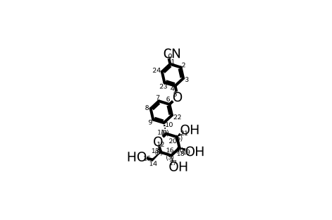 N#Cc1ccc(Oc2cccc([C@H]3O[C@H](CO)[C@@H](O)[C@H](O)[C@@H]3O)c2)cc1